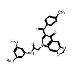 COc1ccc(C(=O)c2cn(CC(=O)Nc3cc(OC)cc(OC)c3)c3cc4c(cc3c2=O)OCO4)cc1